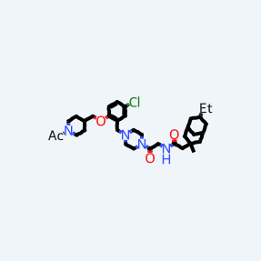 CCC1CC2CC(C1)CC(C)(CC(=O)NCC(=O)N1CCN(Cc3cc(Cl)ccc3OCC3CCN(C(C)=O)CC3)CC1)C2